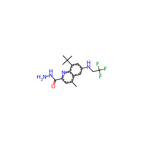 Cc1cc(C(=O)NN)nc2c(C(C)(C)C)cc(NCC(F)(F)F)cc12